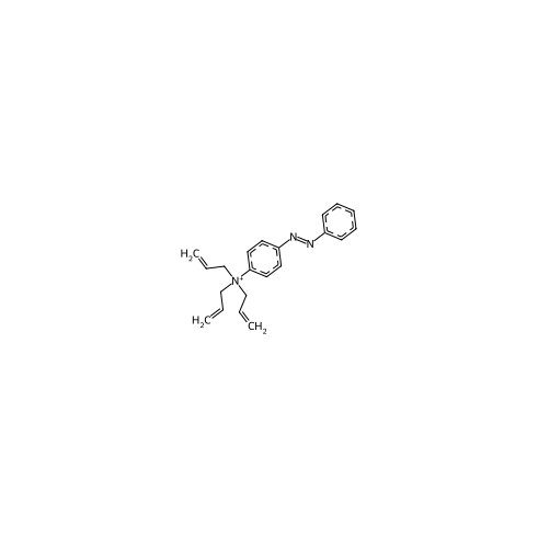 C=CC[N+](CC=C)(CC=C)c1ccc(/N=N/c2ccccc2)cc1